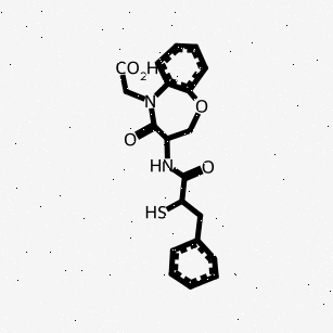 O=C(O)CN1C(=O)C(NC(=O)C(S)Cc2ccccc2)COc2ccccc21